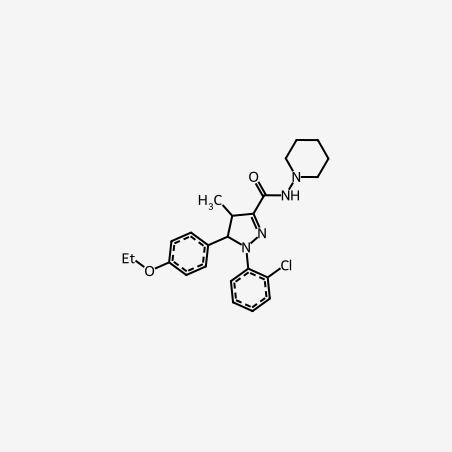 CCOc1ccc(C2C(C)C(C(=O)NN3CCCCC3)=NN2c2ccccc2Cl)cc1